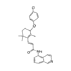 CC1=C(/C=C/C(=O)Nc2cccc3cnccc23)C(C)(C)CCC1Oc1ccc(Cl)cc1